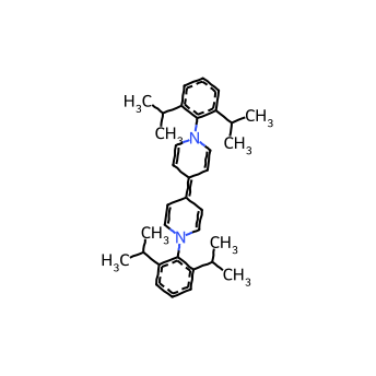 CC(C)c1cccc(C(C)C)c1N1C=CC(=C2C=CN(c3c(C(C)C)cccc3C(C)C)C=C2)C=C1